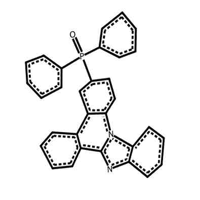 O=P(c1ccccc1)(c1ccccc1)c1ccc2c(c1)c1ccccc1c1nc3ccccc3n21